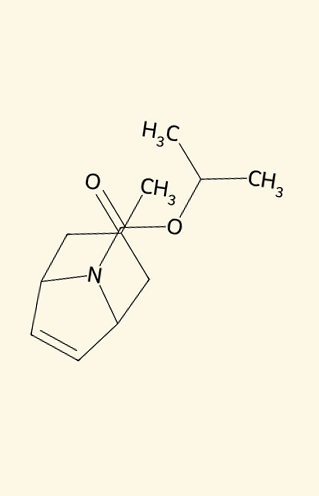 CC1CC2C=CC(C1)N2C(=O)OC(C)C